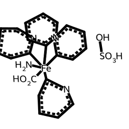 O=S(=O)(O)O.[NH2][Fe]([C](=O)O)([c]1ccccn1)([c]1ccccn1)([c]1ccccn1)[c]1ccccn1